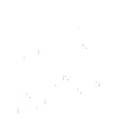 CC[C@@H](Nc1nc(C)nc2c3c(c(N4CCOCC4)cc12)CCC3)c1cc(NC(C)=O)cc(C(F)F)c1